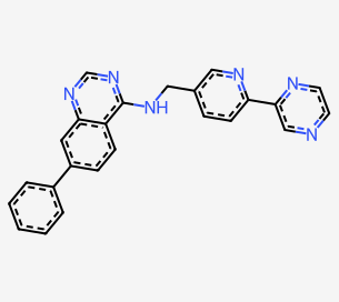 c1ccc(-c2ccc3c(NCc4ccc(-c5cnccn5)nc4)ncnc3c2)cc1